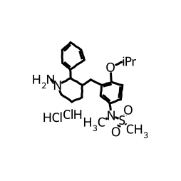 CC(C)Oc1ccc(N(C)S(C)(=O)=O)cc1CC1CCCN(N)C1c1ccccc1.Cl.Cl